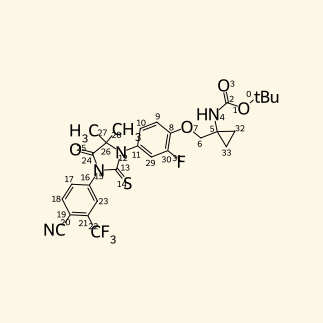 CC(C)(C)OC(=O)NC1(COc2ccc(N3C(=S)N(c4ccc(C#N)c(C(F)(F)F)c4)C(=O)C3(C)C)cc2F)CC1